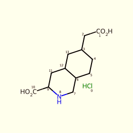 Cl.O=C(O)CC1CCC2CNC(C(=O)O)CC2C1